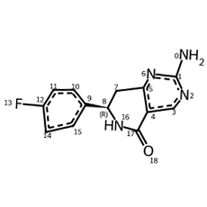 Nc1ncc2c(n1)C[C@H](c1ccc(F)cc1)NC2=O